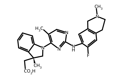 Cc1cnc(Nc2cc3c(cc2F)CCN(C)C3)nc1N1C[C@](C)(CC(=O)O)c2ccccc21